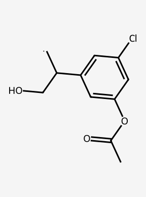 [CH2]C(CO)c1cc(Cl)cc(OC(C)=O)c1